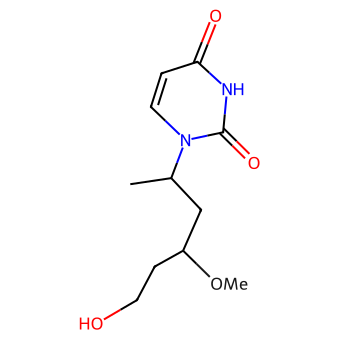 COC(CCO)CC(C)n1ccc(=O)[nH]c1=O